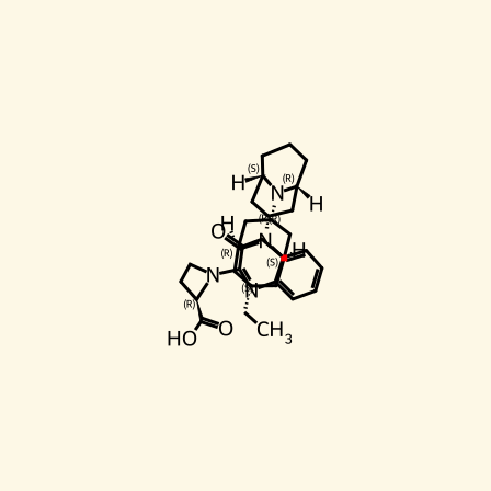 CC[C@@H]1C[C@@H]2C[C@H](C1)C[C@@H](N1[C@@H]3CCC[C@H]1C[C@@H](n1c(=O)c(N4CC[C@@H]4C(=O)O)nc4ccccc41)C3)C2